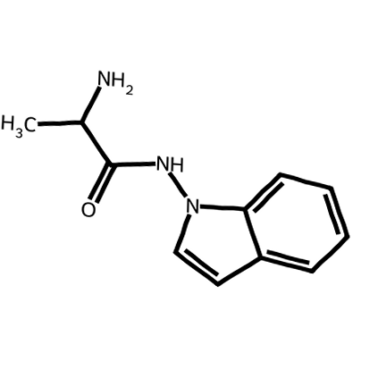 CC(N)C(=O)Nn1ccc2ccccc21